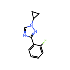 Fc1ccccc1-c1ncn(C2CC2)n1